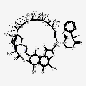 CCC1(c2ccccc2)C(=O)NCNC1=O.CO[C@H]1/C=C/O[C@@]2(C)Oc3c(C)c(O)c4c(O)c(c(/C=N/N5CCN(C)CC5)c(O)c4c3C2=O)NC(=O)/C(C)=C\C=C\[C@H](C)[C@H](O)[C@@H](C)[C@@H](O)[C@@H](C)[C@H](OC(C)=O)[C@@H]1C